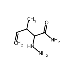 C=CC(C)C(NN)C(N)=O